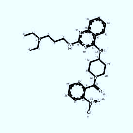 CCN(CC)CCCNc1nc(NC2CCN(C(=O)c3ccccc3[N+](=O)[O-])CC2)c2ccccc2n1